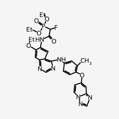 CCOc1cc2ncnc(Nc3ccc(Oc4ccn5ncnc5c4)c(C)c3)c2cc1NC(=O)C(F)P(=O)(OCC)OCC